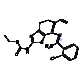 C=CC1=C(/N=C(\N)c2ccccc2Cl)c2sc(NC(=O)SCC)nc2CC1